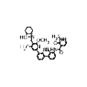 COc1nc(-c2cccc(-c3cccc(NC(=O)c4ccnn(C)c4=O)c3Cl)c2Cl)cc(C)c1CN[C@@H]1CCCC[C@@H]1O